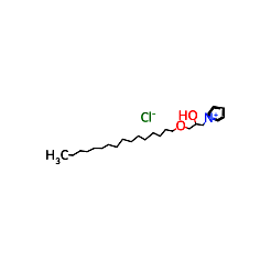 CCCCCCCCCCCCCCCCOCC(O)C[n+]1ccccc1.[Cl-]